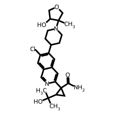 CC(C)(O)C1CC1(C(N)=O)c1cc2cc(C3CCN(C4(C)COCC4O)CC3)c(Cl)cc2cn1